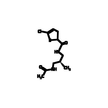 CC(=O)NC[C@@H](C)CNC(=O)C1CC=C(Cl)S1